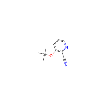 C[Si](C)(C)Oc1cccnc1C#N